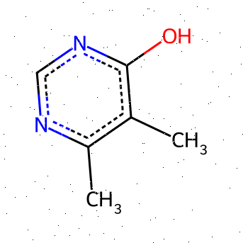 Cc1ncnc(O)c1C